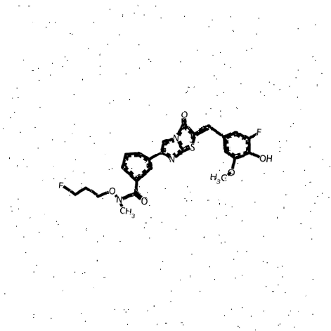 COc1cc(/C=c2\sc3nc(-c4cccc(C(=O)N(C)OCCCF)c4)cn3c2=O)cc(F)c1O